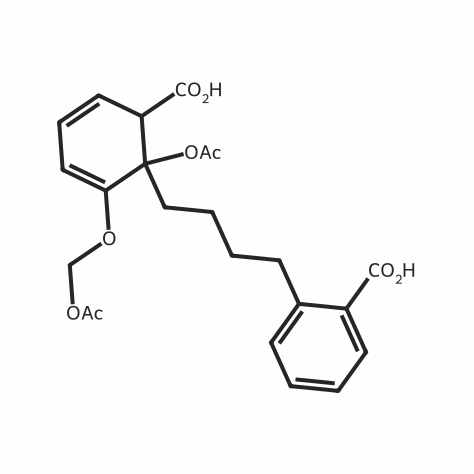 CC(=O)OCOC1=CC=CC(C(=O)O)C1(CCCCc1ccccc1C(=O)O)OC(C)=O